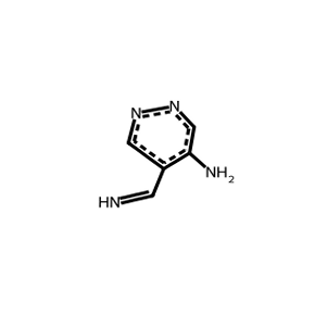 N=Cc1cnncc1N